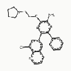 Nc1nc(-c2ccccc2)c(-c2cc(Cl)c3ncccc3c2)nc1OCCN1CCCC1